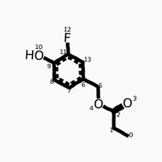 CCC(=O)OCc1ccc(O)c(F)c1